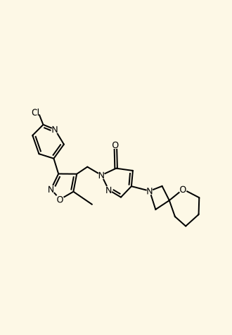 Cc1onc(-c2ccc(Cl)nc2)c1Cn1ncc(N2CC3(CCCCO3)C2)cc1=O